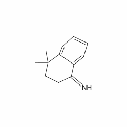 CC1(C)CCC(=N)c2ccccc21